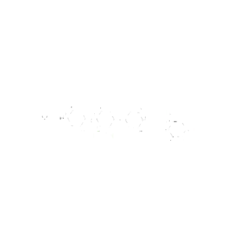 CCOc1ccc(COc2ccc(-c3ccc(-c4ccc(OC)cc4)c(F)c3F)cc2)c(F)c1